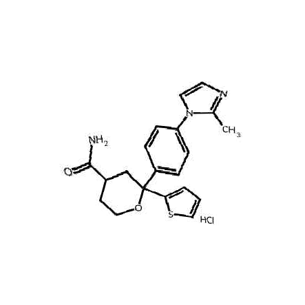 Cc1nccn1-c1ccc(C2(c3cccs3)CC(C(N)=O)CCO2)cc1.Cl